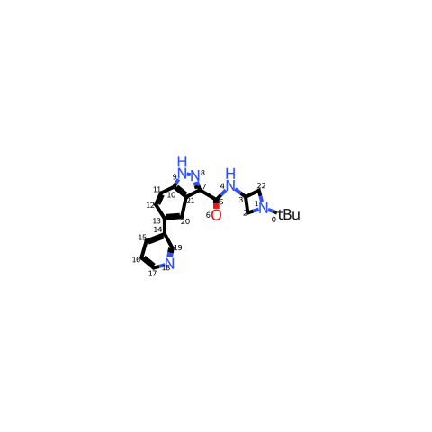 CC(C)(C)N1CC(NC(=O)c2n[nH]c3ccc(-c4cccnc4)cc23)C1